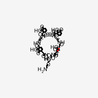 NCCOCCNC(=O)C1CNC(=O)c2ccc(n(O)c2=O)C(=O)NCCCN(C(=O)c2cccc(=O)n2O)CCCCN(C(=O)c2cccc(=O)n2O)CCCNC(=O)c2ccc(c(=O)n2O)C(=O)N1